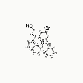 OCC[C@@H](c1cccc(Br)c1)n1ccc2cccc(OCc3ccccc3)c21